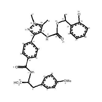 COc1ccc(CC(NC(=O)c2ccc(-c3nn(C)c(C)c3NC(=O)OC(C)c3ccccc3Cl)cc2)C(=O)O)cc1